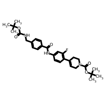 CC(C)(C)OC(=O)NCc1ccc(C(=O)Nc2ccc(C3=CCN(C(=O)OC(C)(C)C)CC3)c(F)c2)cc1